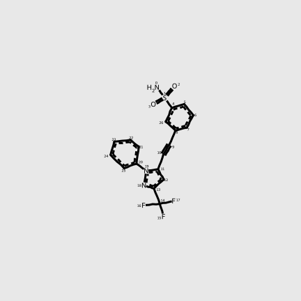 NS(=O)(=O)c1cccc(C#Cc2cc(C(F)(F)F)nn2-c2ccccc2)c1